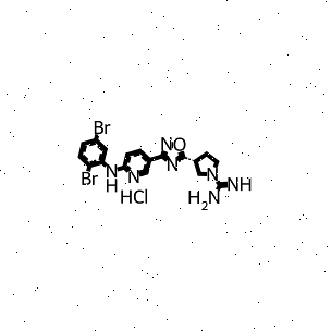 Cl.N=C(N)N1CC[C@@H](c2nc(-c3ccc(Nc4cc(Br)ccc4Br)nc3)no2)C1